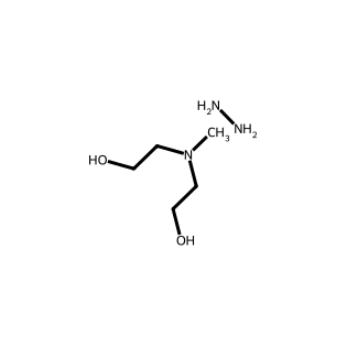 CN(CCO)CCO.NN